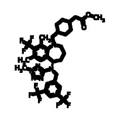 COC(=O)CC1CCC(CN2CCC[C@H](N(Cc3cc(C(F)(F)F)cc(C(F)(F)F)c3)c3nnn(C)n3)c3cc(C)c(C(F)(F)F)c(C)c32)CC1